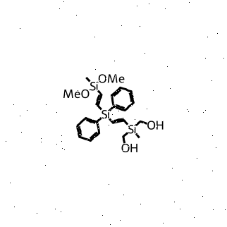 CO[Si](C)(C=C[Si](C=C[Si](C)(CO)CO)(c1ccccc1)c1ccccc1)OC